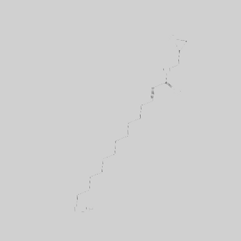 CCCCCCCCCCCCCCCCCCCCCC=CC(=O)OCC1CO1